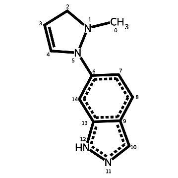 CN1CC=CN1c1ccc2cn[nH]c2c1